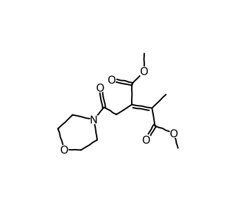 COC(=O)/C(C)=C(\CC(=O)N1CCOCC1)C(=O)OC